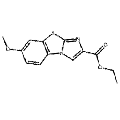 CCOC(=O)c1cn2c(n1)sc1cc(OC)ccc12